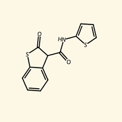 O=C(Nc1cccs1)C1C(=O)Sc2ccccc21